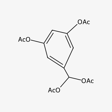 CC(=O)Oc1cc(OC(C)=O)cc(C(OC(C)=O)OC(C)=O)c1